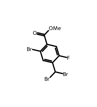 COC(=O)c1cc(F)c(C(Br)Br)cc1Br